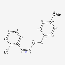 CCc1ccccc1/[C]=N\OCc1ccc(OC)cc1